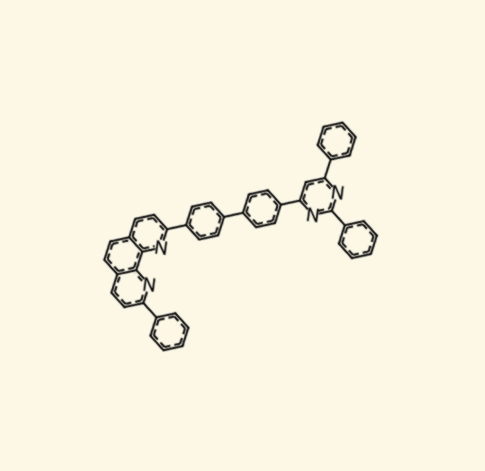 c1ccc(-c2cc(-c3ccc(-c4ccc(-c5ccc6ccc7ccc(-c8ccccc8)nc7c6n5)cc4)cc3)nc(-c3ccccc3)n2)cc1